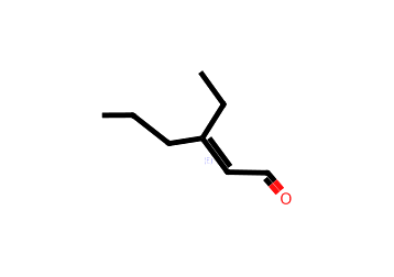 CCC/C(=C/C=O)CC